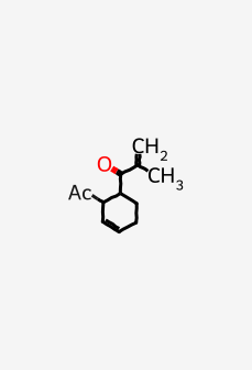 C=C(C)C(=O)C1CCC=CC1C(C)=O